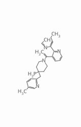 C=C(c1cccnc1C(=C/CC)/N=C\C)N1CCC(P)(Cc2ccc(C)cn2)CC1